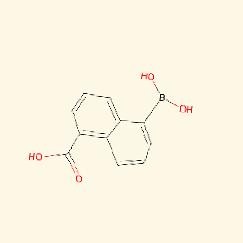 O=C(O)c1cccc2c(B(O)O)cccc12